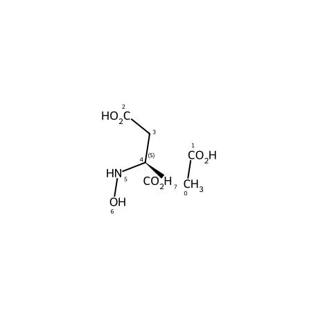 CC(=O)O.O=C(O)C[C@H](NO)C(=O)O